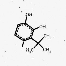 CC(C)(C)c1c(I)ccc(O)c1O